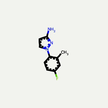 Cc1cc(F)ccc1-n1ccc(N)n1